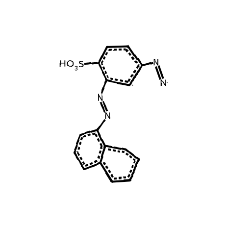 [N]=Nc1[c]c(N=Nc2cccc3ccccc23)c(S(=O)(=O)O)cc1